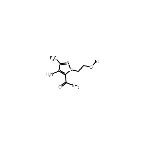 CCOCCn1nc(C(F)(F)F)c(N)c1C(N)=O